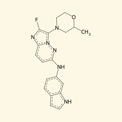 CC1CN(c2c(F)nc3ccc(Nc4ccc5cc[nH]c5c4)nn23)CCO1